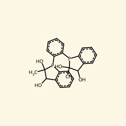 CC1(O)C(O)c2ccccc2P1c1ccccc1P1c2ccccc2C(O)C1(C)O